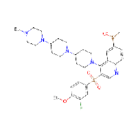 CCOc1ccc(S(=O)(=O)c2cnc3ccc([S+](C)[O-])cc3c2N2CCC(N3CCC(N4CCN(CC)CC4)CC3)CC2)cc1F